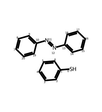 Sc1ccccc1.c1ccc(N=Nc2ccccc2)cc1